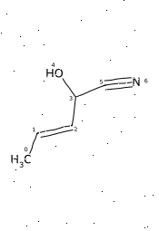 CC=CC(O)C#N